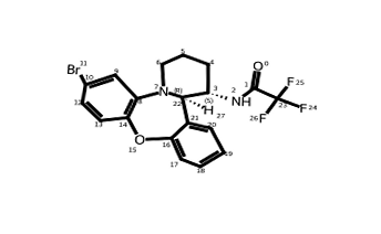 O=C(N[C@H]1CCCN2c3cc(Br)ccc3Oc3ccccc3[C@H]12)C(F)(F)F